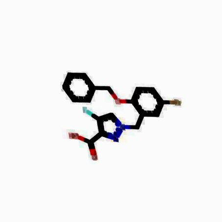 O=C(O)c1nn(Cc2cc(Br)ccc2OCc2ccccc2)cc1F